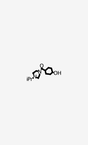 CC(C)N1CCN(C(=O)C2CCC(O)CC2)CC1